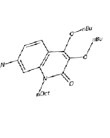 CCCCCCCCn1c(=O)c(OCCCC)c(OCCCC)c2ccc([N+](=O)[O-])cc21